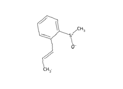 [CH2]C=Cc1ccccc1[S+](C)[O-]